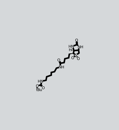 CC(C)(C)OC(=O)NCCCCCCNC(=O)CCCC[C@H]1[C@H]2NC(=O)NC2CS1(=O)=O